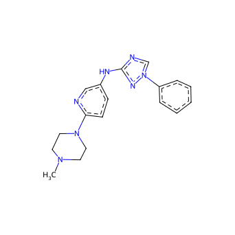 CN1CCN(c2ccc(Nc3ncn(-c4ccccc4)n3)cn2)CC1